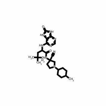 CC1CCC(N2CCC(C#N)(NC(=O)C(CC(C)(C)C)Nc3ncnc4[nH]c(=O)[nH]c34)C2)CC1